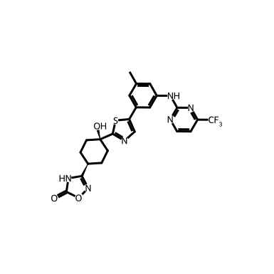 Cc1cc(Nc2nccc(C(F)(F)F)n2)cc(-c2cnc([C@]3(O)CC[C@@H](c4noc(=O)[nH]4)CC3)s2)c1